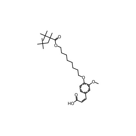 COc1cc(/C=C\C(=O)O)ccc1OCCCCCCCCOC(=O)C(C)(CC(C)(C)C)C(C)(C)C